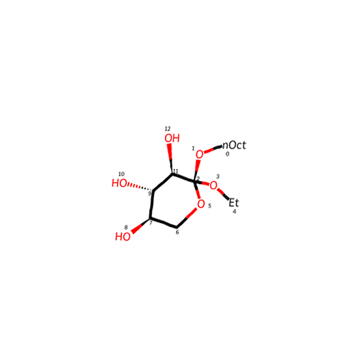 CCCCCCCCO[C@@]1(OCC)OC[C@@H](O)[C@H](O)[C@H]1O